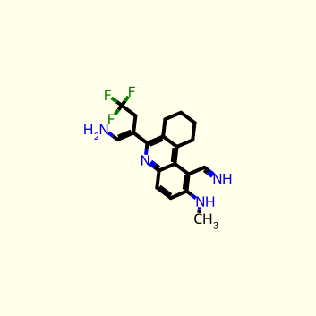 CNc1ccc2nc(/C(=C/N)CC(F)(F)F)c3c(c2c1C=N)CCCC3